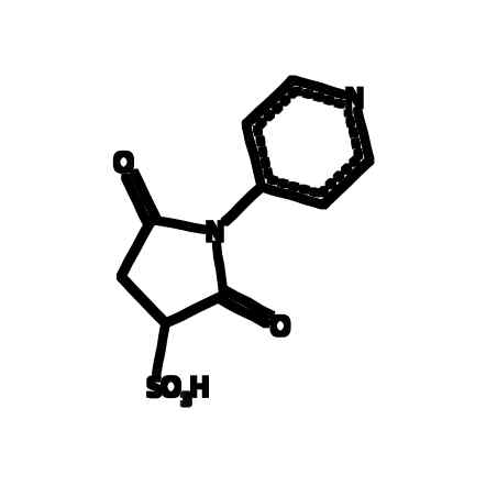 O=C1CC(S(=O)(=O)O)C(=O)N1c1ccncc1